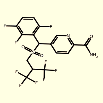 NC(=O)c1ccc(C(c2c(F)ccc(F)c2F)S(=O)(=O)CC(C(F)(F)F)C(F)(F)F)cn1